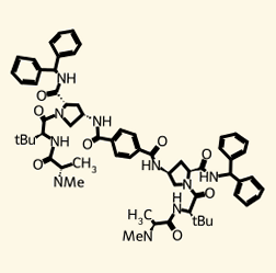 CN[C@@H](C)C(=O)N[C@H](C(=O)N1C[C@@H](NC(=O)c2ccc(C(=O)N[C@H]3C[C@@H](C(=O)NC(c4ccccc4)c4ccccc4)N(C(=O)[C@@H](NC(=O)[C@H](C)NC)C(C)(C)C)C3)cc2)C[C@H]1C(=O)NC(c1ccccc1)c1ccccc1)C(C)(C)C